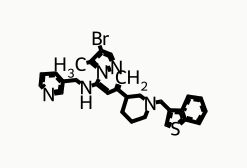 C=C(/C=C(/NCc1cccnc1)n1ncc(Br)c1C)C1CCCN(Cc2csc3ccccc23)C1